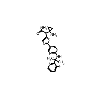 CC(C)(Nc1ncc(-c2ncc(C(C(N)=O)C3(N)CC3)s2)cn1)c1ncccc1F